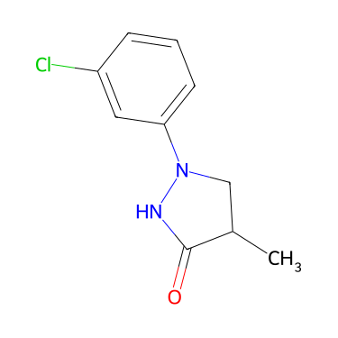 CC1CN(c2cccc(Cl)c2)NC1=O